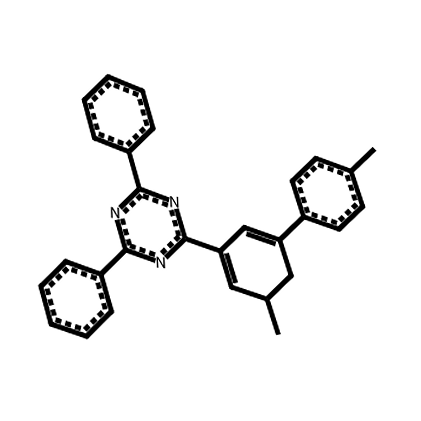 Cc1ccc(C2=CC(c3nc(-c4ccccc4)nc(-c4ccccc4)n3)=CC(C)C2)cc1